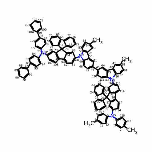 Cc1ccc(N(c2ccc(C)cc2)c2ccc3c(c2)C(c2ccccc2)(c2ccccc2)c2cc(-n4c5ccc(C)cc5c5cc(-c6ccc7c(c6)c6cc(C)ccc6n7-c6ccc7c(c6)C(c6ccccc6)(c6ccccc6)c6cc(N(c8ccc(-c9ccccc9)cc8)c8ccc(-c9ccccc9)cc8)ccc6-7)ccc54)ccc2-3)cc1